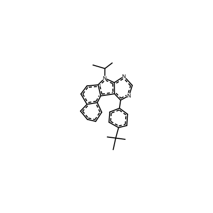 CC(C)n1c2ccc3ccccc3c2c2c(-c3ccc(C(C)(C)C)cc3)ncnc21